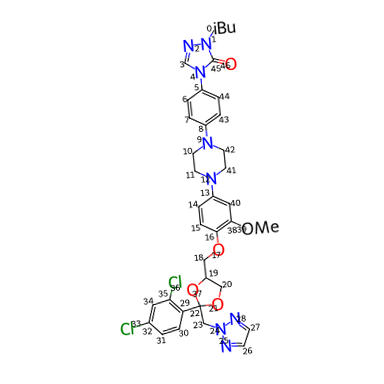 CCC(C)n1ncn(-c2ccc(N3CCN(c4ccc(OCC5COC(Cn6nccn6)(c6ccc(Cl)cc6Cl)O5)c(OC)c4)CC3)cc2)c1=O